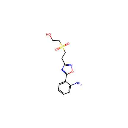 Nc1ccccc1-c1nc(CCS(=O)(=O)CCO)no1